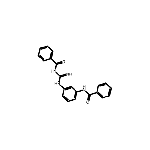 N=C(NC(=O)c1ccccc1)Nc1cccc(NC(=O)c2ccccc2)c1